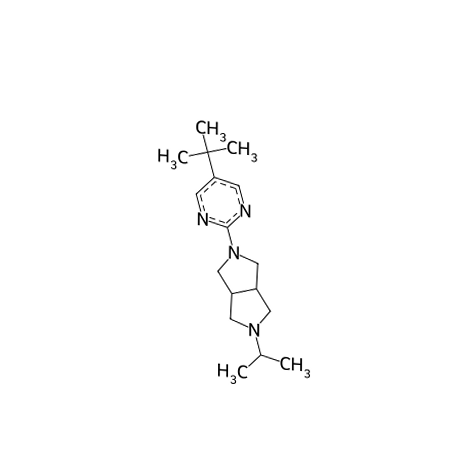 CC(C)N1CC2CN(c3ncc(C(C)(C)C)cn3)CC2C1